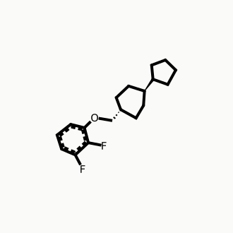 Fc1cccc(OC[C@H]2CC[C@H](C3CCCC3)CC2)c1F